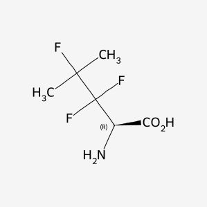 CC(C)(F)C(F)(F)[C@H](N)C(=O)O